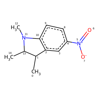 CC1c2cc([N+](=O)[O-])ccc2N(C)C1C